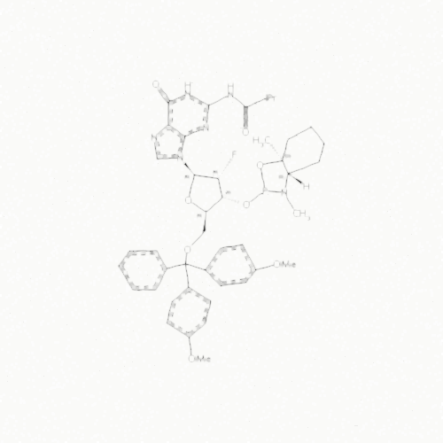 COc1ccc(C(OC[C@H]2O[C@@H](n3cnc4c(=O)[nH]c(NC(=O)C(C)C)nc43)[C@H](F)[C@@H]2OP2O[C@@]3(C)CCCC[C@@H]3N2C)(c2ccccc2)c2ccc(OC)cc2)cc1